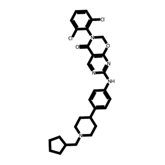 O=C1c2cnc(Nc3ccc(C4CCN(CC5CCCC5)CC4)cc3)nc2OCN1c1c(Cl)cccc1Cl